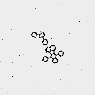 c1ccc(-c2c3c(c(-c4ccccc4)c4ccccc24)-c2ccc(-c4ccc(-c5ccnc(-c6ccccn6)n5)cc4)c4cccc-3c24)cc1